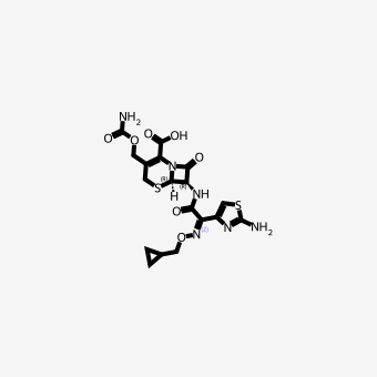 NC(=O)OCC1=C(C(=O)O)N2C(=O)[C@@H](NC(=O)/C(=N\OCC3CC3)c3csc(N)n3)[C@H]2SC1